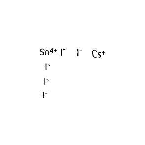 [Cs+].[I-].[I-].[I-].[I-].[I-].[Sn+4]